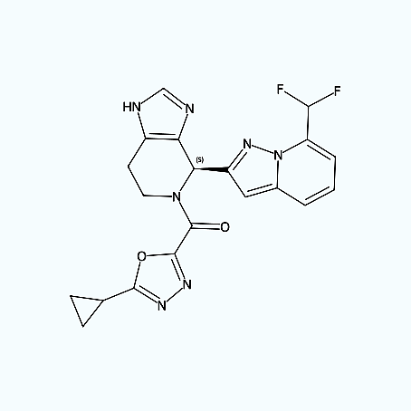 O=C(c1nnc(C2CC2)o1)N1CCc2[nH]cnc2[C@H]1c1cc2cccc(C(F)F)n2n1